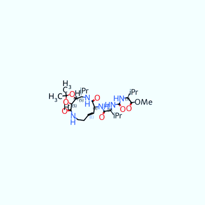 COC(=O)[C@@H](NC(=O)N[C@H](C(=O)N[C@H]1/C=C/CCNC(=O)[C@H]2OC(C)(C)O[C@@H]2[C@H](C(C)C)NC1=O)C(C)C)C(C)C